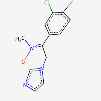 C/[N+]([O-])=C(/Cn1ccnc1)c1ccc(Cl)c(Cl)c1